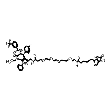 CCN1C(=O)[C@@H](NC(=O)c2cccc(C(F)(F)F)c2)[C@@H](c2ccc(F)cc2)c2c(CNC(=O)CCOCCOCCOCCOCCNC(=O)CCCCC3SCC4NC(=O)NC43)nn(-c3ccccc3)c21